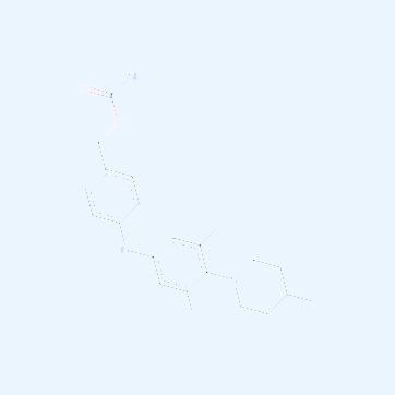 CC1CCN(c2c(F)cc(Nc3ccc(COC(N)=O)cc3)cc2F)CC1